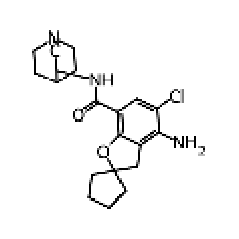 Nc1c(Cl)cc(C(=O)NC2CN3CCC2CC3)c2c1CC1(CCCC1)O2